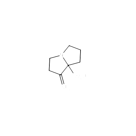 C=C1CCN2CCCC12C(=O)OCC